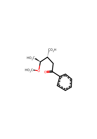 O=C(O)O[C@@H](C(=O)O)[C@@H](CC(=O)c1ccccc1)C(=O)O